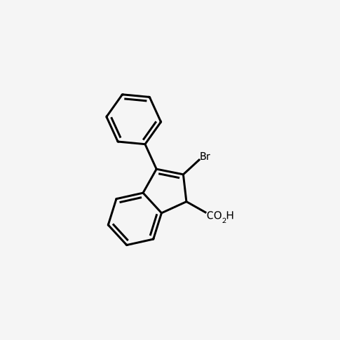 O=C(O)C1C(Br)=C(c2ccccc2)c2ccccc21